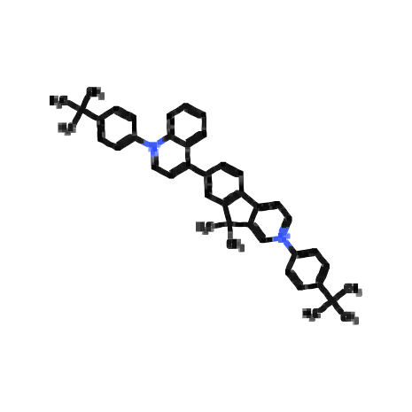 CC(C)(C)c1ccc(-[n+]2ccc3c(c2)C(C)(C)c2cc(-c4cc[n+](-c5ccc(C(C)(C)C)cc5)c5ccccc45)ccc2-3)cc1